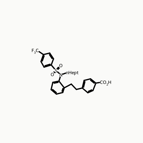 CCCCCCCN(c1ccccc1CCc1ccc(C(=O)O)cc1)S(=O)(=O)c1ccc(C(F)(F)F)cc1